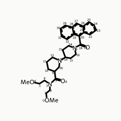 COCCN(CCOC)C(=O)C1CCCN(C2CCN(C(=O)c3c4ccccc4cc4ccccc34)CC2)C1